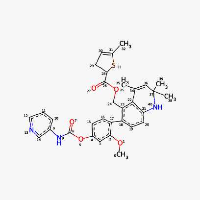 COc1cc(OC(=O)Nc2cccnc2)ccc1-c1ccc2c(c1COC(=O)C1CC=C(C)S1)C(C)=CC(C)(C)N2